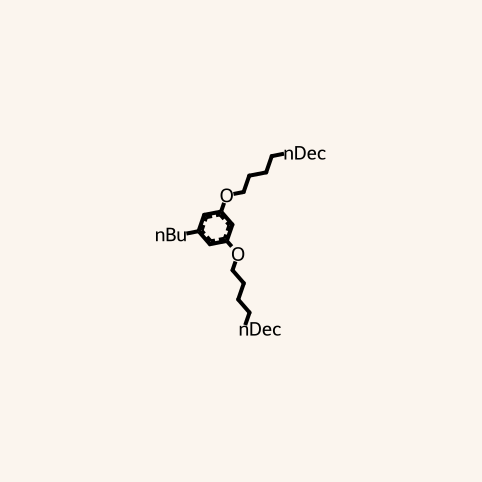 [CH2]CCCc1cc(OCCCCCCCCCCCCCC)cc(OCCCCCCCCCCCCCC)c1